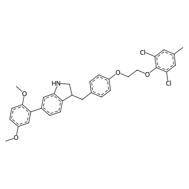 COc1ccc(OC)c(-c2ccc3c(c2)NCC3Cc2ccc(OCCOc3c(Cl)cc(C)cc3Cl)cc2)c1